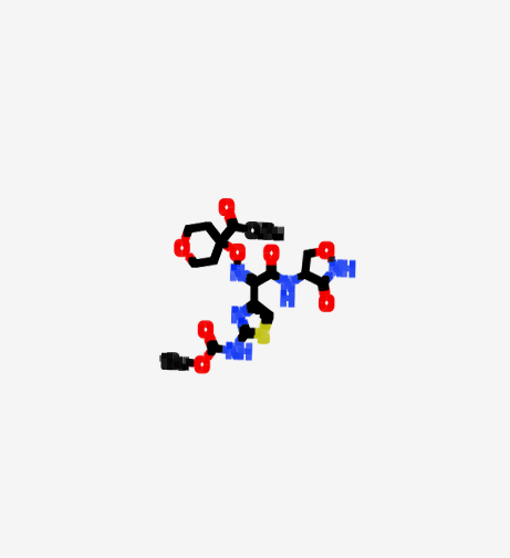 CC(C)COC(=O)C1(O/N=C(\C(=O)N[C@H]2CONC2=O)c2csc(NC(=O)OC(C)(C)C)n2)CCOCC1